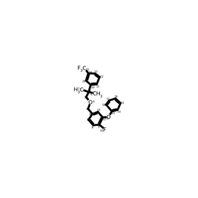 CC(C)(COCc1ccc(F)c(Oc2ccccc2)c1)c1cccc(C(F)(F)F)c1